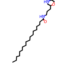 CCCCCCCCCCCCCCCCCC(=O)NCCCC1CNCCO1